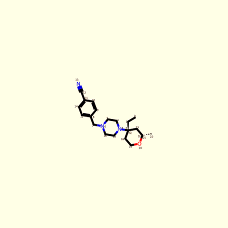 CC[C@]1(N2CCN(Cc3ccc(C#N)cc3)CC2)CCO[C@@H](C)C1